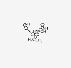 CC(C)Oc1ccc(C#Cc2ccc3cc[nH]c3c2)cc1C(=O)N[C@@H](CO)Cc1c[nH]c2ccccc12